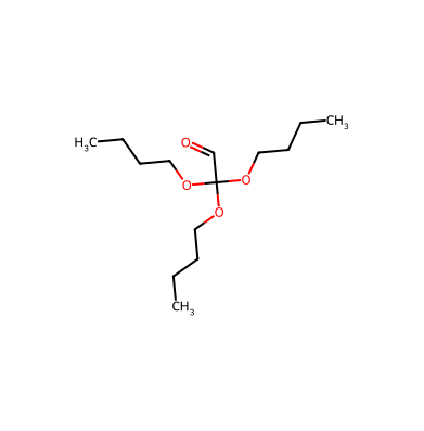 CCCCOC(C=O)(OCCCC)OCCCC